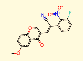 COc1ccc2occ(/C=C(\C#N)c3cccc(F)c3[N+](=O)[O-])c(=O)c2c1